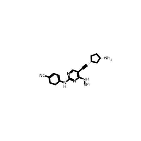 CCCNc1nc(NC2=CC=C(C#N)CC2)ncc1C#C[C@@H]1CC[C@H](N)C1